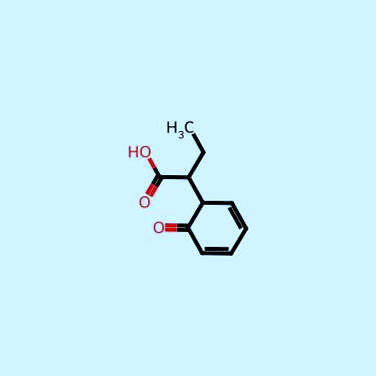 CCC(C(=O)O)C1C=CC=CC1=O